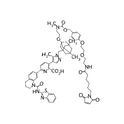 Cc1c(-c2ccc(-c3ccc4c(c3)N(C(=O)Nc3nc5ccccc5s3)CCC4)nc2C(=O)O)cnn1CC12CC3(C)CC(C)(C1)CC(OCCN(C)C(=O)OCc1[c]cc(OCCOCCNC(=O)CCCCCN4C(=O)C=CC4=O)cc1)(C3)C2